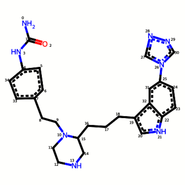 NC(=O)Nc1ccc(CCN2CCNCC2CCCc2c[nH]c3ccc(-n4cnnc4)cc23)cc1